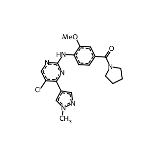 COc1cc(C(=O)N2CCCC2)ccc1Nc1ncc(Cl)c(-c2cnn(C)c2)n1